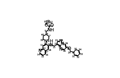 CC(C)(C)OC(=O)NCC1CCN(c2cc3ncccc3cc2NCc2cnn3cc(OCC4C=CC=CC4)cnc23)CC1